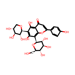 O=c1cc(-c2ccc(O)cc2)oc2c([C@@H]3O[C@H](CO)[C@@H](O)[C@H](O)[C@H]3O)c(O)c([C@@H]3OC[C@@H](O)[C@H](O)[C@H]3O)c(O)c12